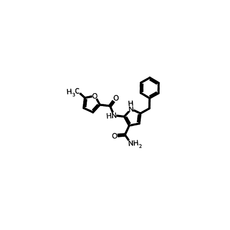 Cc1ccc(C(=O)Nc2[nH]c(Cc3ccccc3)cc2C(N)=O)o1